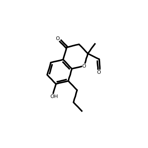 CCCc1c(O)ccc2c1OC(C)(C=O)CC2=O